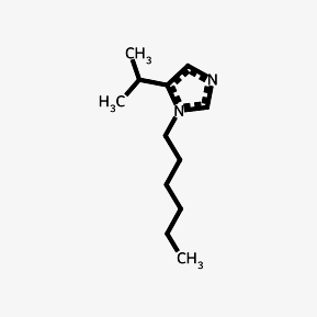 CCCCCCn1cncc1C(C)C